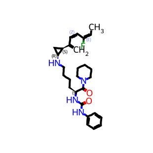 C=C(/C=C\C(F)=C/C)[C@@H]1C[C@H]1NCCCC[C@H](NC(=O)Nc1ccccc1)C(=O)N1CCCCC1